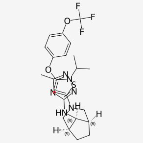 Cc1cc(N2C[C@H]3CC[C@@H](C2)[C@H]3Nc2nc(Oc3ccc(OC(F)(F)F)cc3)n(C(C)C)n2)sn1